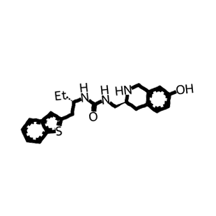 CC[C@@H](Cc1cc2ccccc2s1)NC(=O)NC[C@@H]1Cc2ccc(O)cc2CN1